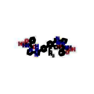 Cc1c(-c2ccc(-c3cnc(C4CCCN4C(=O)C(NC(=O)O)c4ccccc4)[nH]3)cc2)ccc(-c2cnc([C@@H]3CCCN3C(=O)[C@@H](NC(=O)O)c3ccccc3)[nH]2)c1C